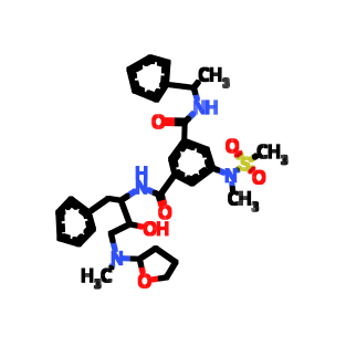 CC(NC(=O)c1cc(C(=O)NC(Cc2ccccc2)C(O)CN(C)C2CCCO2)cc(N(C)S(C)(=O)=O)c1)c1ccccc1